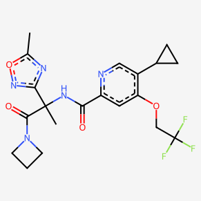 Cc1nc(C(C)(NC(=O)c2cc(OCC(F)(F)F)c(C3CC3)cn2)C(=O)N2CCC2)no1